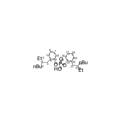 CCCCC(CC)Cc1ccccc1OP(=O)(O)Oc1ccccc1CC(CC)CCCC